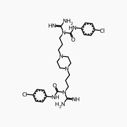 N=C(N)N(CCCN1CCN(CCCN(C(=N)N)C(=O)Nc2ccc(Cl)cc2)CC1)C(=O)Nc1ccc(Cl)cc1